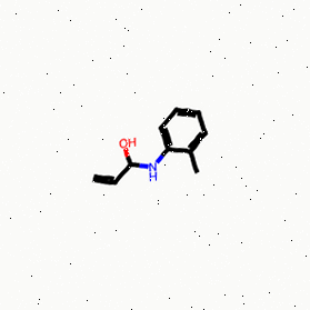 C=CC(O)Nc1ccccc1C